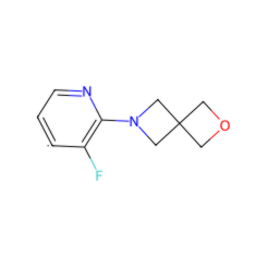 Fc1[c]ccnc1N1CC2(COC2)C1